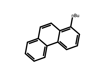 CCCCc1cccc2c1ccc1ccccc12